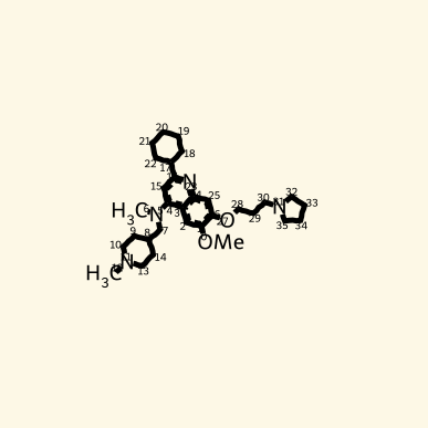 COc1cc2c(N(C)CC3CCN(C)CC3)cc(C3CCCCC3)nc2cc1OCCCN1CCCC1